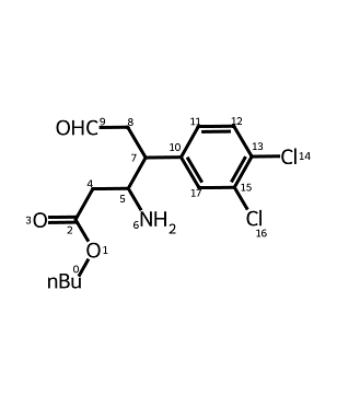 CCCCOC(=O)CC(N)C(CC=O)c1ccc(Cl)c(Cl)c1